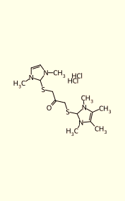 CC1=C(C)N(C)C(SCC(=O)CSC2N(C)C=CN2C)N1C.Cl.Cl